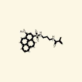 C=C(C)C(=O)NCCCNS(=O)(=O)c1cc(OC(C)=O)c2ccc3cccc4ccc1c2c34